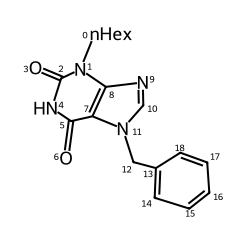 CCCCCCn1c(=O)[nH]c(=O)c2c1ncn2Cc1ccccc1